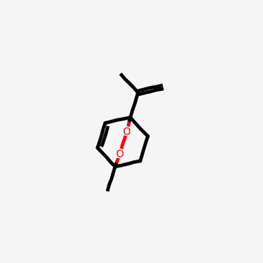 C=C(C)C12C=CC(C)(CC1)OO2